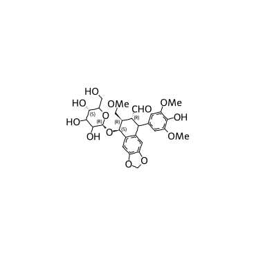 COC[C@@H]1[C@H](O[C@@H]2OC(CO)[C@@H](O)C(O)C2O)c2cc3c(cc2C(c2cc(OC)c(O)c(OC)c2)[C@H]1C=O)OCO3